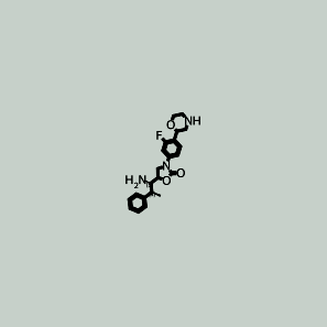 C[C@@H](c1ccccc1)[C@H](N)C1CN(c2ccc(C3CNCCO3)c(F)c2)C(=O)O1